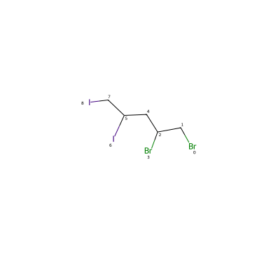 BrCC(Br)CC(I)CI